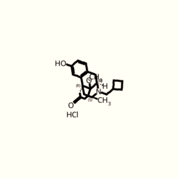 COC12[C@@H](C)CC(=O)C[C@@]13CCN(CC1CCC1)[C@@H]2Cc1ccc(O)cc13.Cl